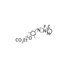 CCOC(=O)C(C)(C)Oc1c(C)cc(CN2CCN(c3ncccc3C(F)(F)F)CC2)cc1C